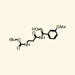 COc1cccc(C(=NO)NC(=O)CCNC(=O)OC(C)(C)C)c1